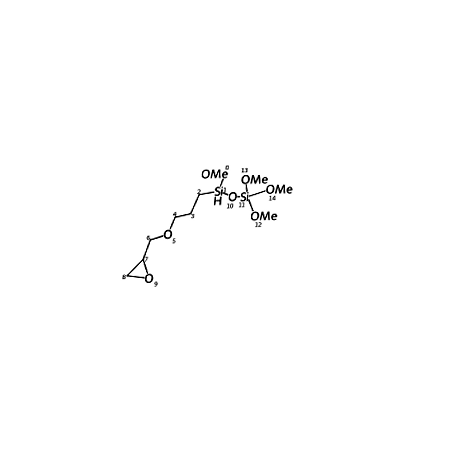 CO[SiH](CCCOCC1CO1)O[Si](OC)(OC)OC